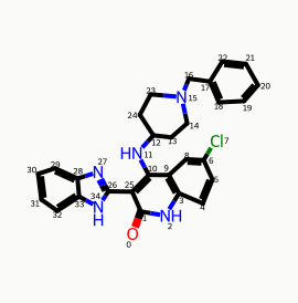 O=c1[nH]c2ccc(Cl)cc2c(NC2CCN(Cc3ccccc3)CC2)c1-c1nc2ccccc2[nH]1